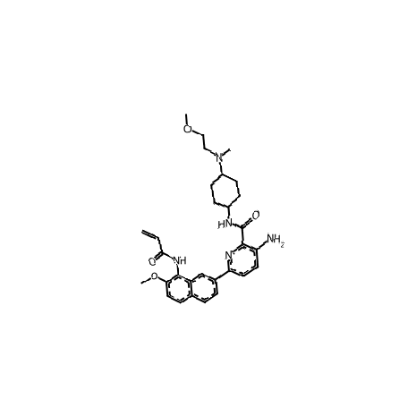 C=CC(=O)Nc1c(OC)ccc2ccc(-c3ccc(N)c(C(=O)NC4CCC(N(C)CCOC)CC4)n3)cc12